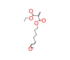 C=C(C(=O)OCC)C(=O)OCCCCC=C=O